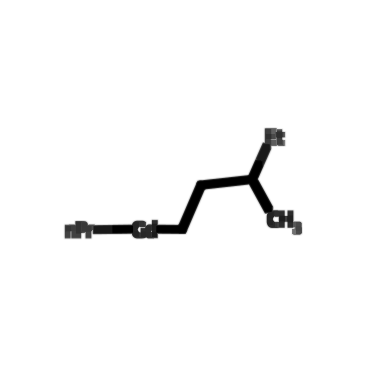 CC[CH2][Gd][CH2]CC(C)CC